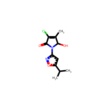 CC1=C(Cl)C(=O)N(c2cc(C(C)C)on2)C1O